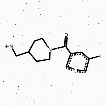 [NH]CC1CCN(C(=O)c2cccc(I)c2)CC1